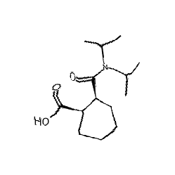 CC(C)N(C(=O)[C@H]1CCCC[C@H]1C(=O)O)C(C)C